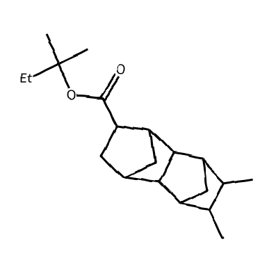 CCC(C)(C)OC(=O)C1CC2CC1C1C3CC(C(C)C3C)C21